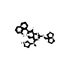 CN(c1nc(OCC23CCCN2CCC3)nc2c(F)c(-c3cccc4cccc(Cl)c34)ncc12)C1CCNC1